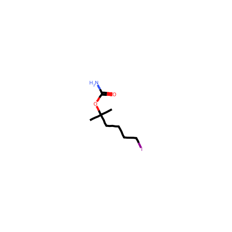 CC(C)(CCCCI)OC(N)=O